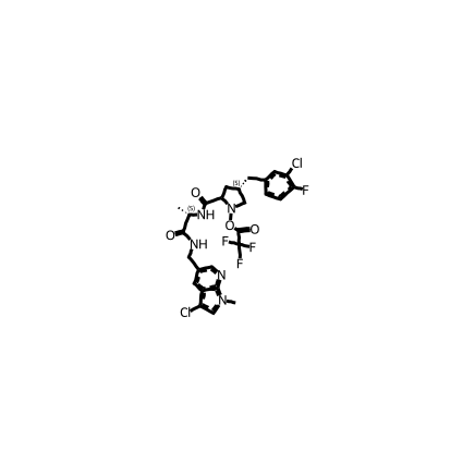 C[C@H](NC(=O)C1C[C@H](Cc2ccc(F)c(Cl)c2)CN1OC(=O)C(F)(F)F)C(=O)NCc1cnc2c(c1)c(Cl)cn2C